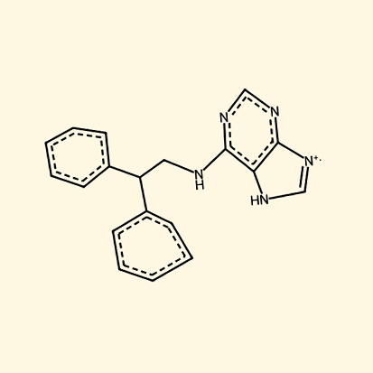 C1=[N+]c2ncnc(NCC(c3ccccc3)c3ccccc3)c2N1